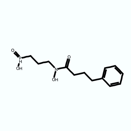 O=C(CCCc1ccccc1)N(O)CCC[PH](=O)O